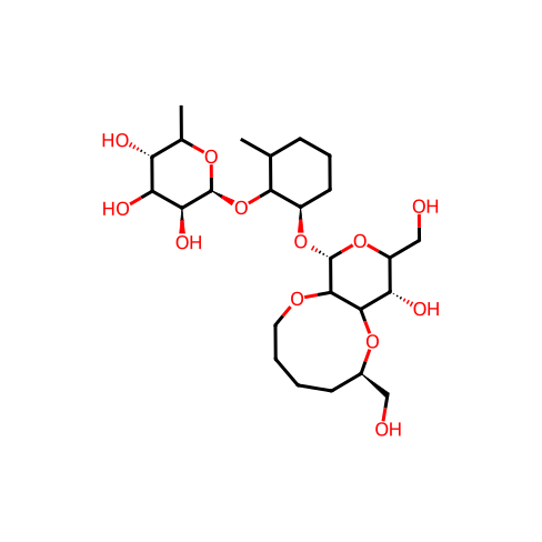 CC1CCC[C@@H](O[C@@H]2OC(CO)[C@H](O)C3O[C@@H](CO)CCCCOC32)C1O[C@@H]1OC(C)[C@@H](O)C(O)[C@@H]1O